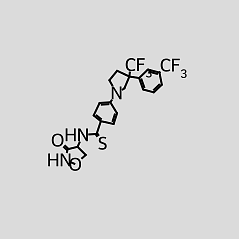 O=C1NOCC1NC(=S)c1ccc(N2CCC(c3cccc(C(F)(F)F)c3)(C(F)(F)F)C2)cc1